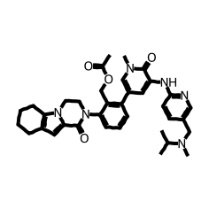 CC(=O)OCc1c(-c2cc(Nc3ccc(CN(C)C(C)C)cn3)c(=O)n(C)c2)cccc1N1CCn2c(cc3c2CCCC3)C1=O